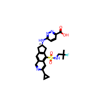 CC(C)(F)CNS(=O)(=O)c1c2c(cc3cnc(C4CC4)cc13)C[C@@H](Nc1ccc(C(=O)O)nn1)C2